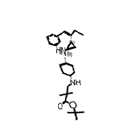 CCC(=Cc1ccccc1)[C@@H]1C[C@H]1N[C@H]1CC[C@@H](NCC(C)(C)C(=O)OC(C)(C)C)CC1